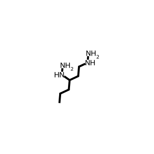 CCCC(CCNN)NN